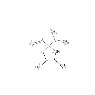 C=C[Si](CCC)(NCC)C(C)C